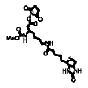 COC(=O)NC(CCCCNC(=O)CCCCC1SCC2NC(=O)NC21)CC(=O)ON1C(=O)CCC1=O